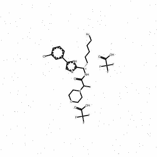 CC(=O)CCCCC[C@H](NC(=O)C(C)N1CCOCC1)c1ncc(-c2cccc(Cl)c2)[nH]1.O=C(O)C(F)(F)F.O=C(O)C(F)(F)F